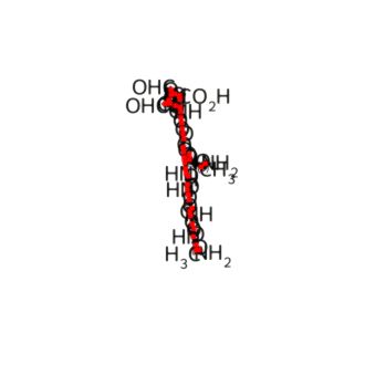 C[C@@H](CCCCNC(=O)COCCOCCNC(=O)COCCOCCNC(=O)CCCC(=O)NCCCC[C@H](CC(=O)COCOCCCC(=O)COCCOCCNC(=O)CN1CCN(COC=O)CCN(COC=O)CCN(CC(=O)O)CC1)C(=O)NCCCC[C@H](C)C(N)=O)C(N)=O